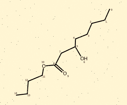 CCCCCC(O)CC(=O)OCCCC